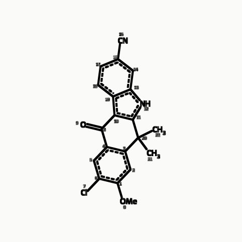 COc1cc2c(cc1Cl)C(=O)c1c([nH]c3cc(C#N)ccc13)C2(C)C